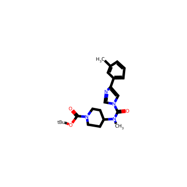 Cc1cccc(-c2cn(C(=O)N(C)C3CCN(C(=O)OC(C)(C)C)CC3)cn2)c1